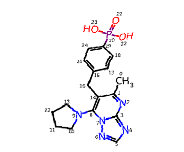 Cc1nc2ncnn2c(N2CCCC2)c1Cc1ccc(P(=O)(O)O)cc1